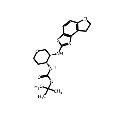 CC(C)(C)OC(=O)N[C@H]1CCOC[C@H]1Nc1nc2c3c(ccc2s1)OCC3